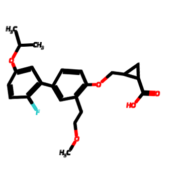 COCCc1cc(-c2cc(OC(C)C)ccc2F)ccc1OCC1CC1C(=O)O